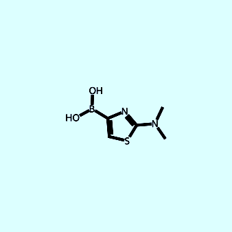 CN(C)c1nc(B(O)O)cs1